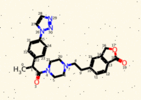 CC(C(=O)N1CCN(CCc2ccc3c(c2)COC3=O)CC1)c1ccc(-n2ccnn2)cc1